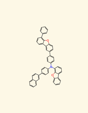 c1ccc(-c2cccc3c2oc2ccc(-c4ccc(N(c5ccc(-c6ccc7ccccc7c6)cc5)c5cccc6c5oc5ccccc56)cc4)cc23)cc1